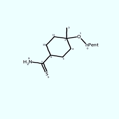 CCCCCOC1(C)CCC(C(N)=S)CC1